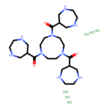 Cl.Cl.Cl.Cl.Cl.Cl.O=C(C1CNCCNC1)N1CCN(C(=O)C2CNCCNC2)CCN(C(=O)C2CNCCNC2)CC1